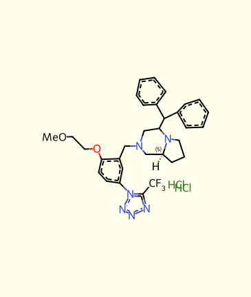 COCCOc1ccc(-n2nnnc2C(F)(F)F)cc1CN1CC(C(c2ccccc2)c2ccccc2)N2CCC[C@H]2C1.Cl.Cl